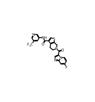 O=C(Nc1cncc(C(F)(F)F)c1)c1csc2c1CCN(C(=O)c1cnc3cc(F)ccn13)C2